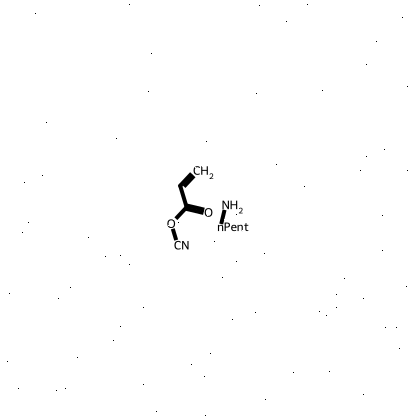 C=CC(=O)OC#N.CCCCCN